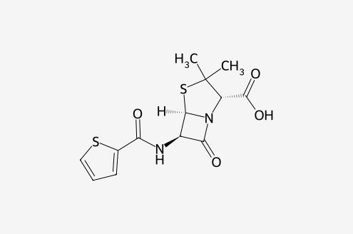 CC1(C)S[C@@H]2[C@H](NC(=O)c3cccs3)C(=O)N2[C@H]1C(=O)O